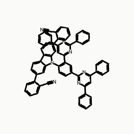 N#Cc1ccccc1-c1ccc2c3ccc(-c4ccccc4C#N)cc3n(-c3ccc(-c4nc(-c5ccccc5)cc(-c5ccccc5)n4)cc3-c3cc(-c4ccccc4)nc(-c4ccccc4)n3)c2c1